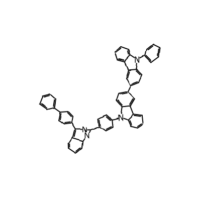 C1=CC2=C(c3ccc(-c4ccccc4)cc3)N3C(c4ccc(-n5c6ccccc6c6cc(-c7ccc8c(c7)c7ccccc7n8-c7ccccc7)ccc65)cc4)N3C2C=C1